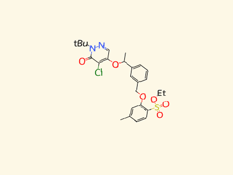 CCOS(=O)(=O)c1ccc(C)cc1OCc1cccc(C(C)Oc2cnn(C(C)(C)C)c(=O)c2Cl)c1